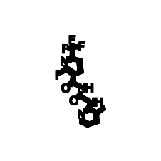 Cc1cccnc1NC(=O)NC(=O)c1ccc(C(F)(F)F)nc1F